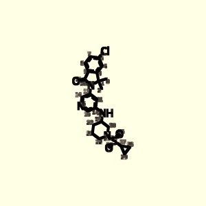 CC1(C)c2cc(Cl)ccc2C(=O)N1c1cncc(NC2CCCN(S(=O)(=O)C3CC3)C2)c1